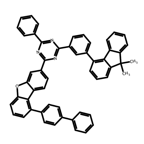 CC1(C)c2ccccc2-c2c(-c3cccc(-c4nc(-c5ccccc5)nc(-c5ccc6c(c5)oc5cccc(-c7ccc(-c8ccccc8)cc7)c56)n4)c3)cccc21